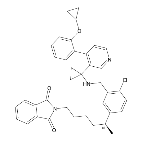 C[C@@H](CCCCN1C(=O)c2ccccc2C1=O)c1ccc(Cl)c(CNC2(c3cnccc3-c3ccccc3OC3CC3)CC2)c1